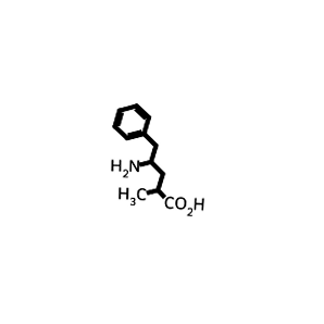 CC(CC(N)Cc1ccccc1)C(=O)O